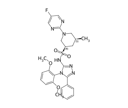 COc1cccc(OC)c1-n1c(NS(=O)(=O)[C@@H]2C[C@H](C)CN(c3ncc(F)cn3)C2)nnc1-c1ccccc1